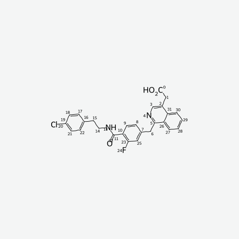 O=C(O)Cc1cnc(Cc2ccc(C(=O)NCCc3ccc(Cl)cc3)c(F)c2)c2ccccc12